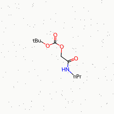 CCCNC(=O)COC(=O)OC(C)(C)C